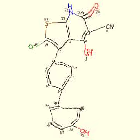 N#Cc1c(O)c2c(-c3ccc(-c4cccc(O)c4)cc3)c(Cl)sc2[nH]c1=O